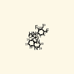 O=S(=O)(Nc1ccc(F)c(I)c1F)c1cccc2nccnc12